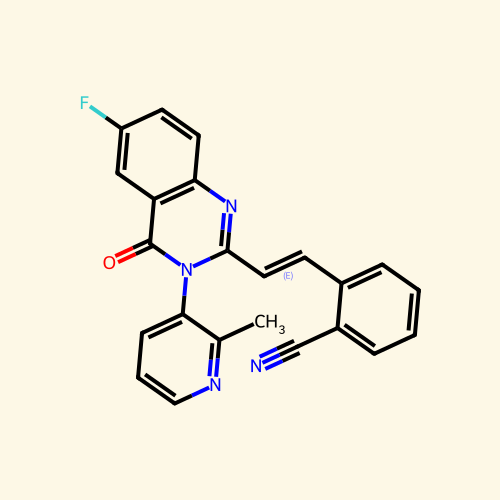 Cc1ncccc1-n1c(/C=C/c2ccccc2C#N)nc2ccc(F)cc2c1=O